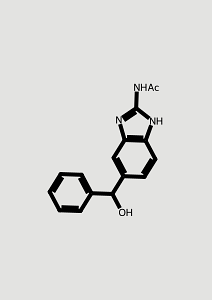 CC(=O)Nc1nc2cc(C(O)c3ccccc3)ccc2[nH]1